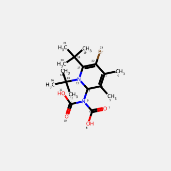 CC1=C(C)C(N(C(=O)O)C(=O)O)N(C(C)(C)C)C(C(C)(C)C)=C1Br